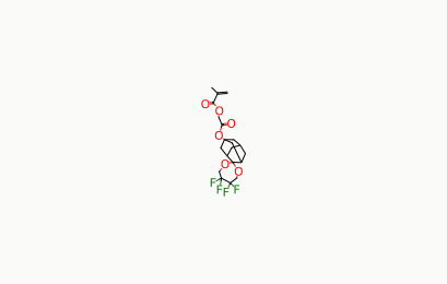 C=C(C)C(=O)OCC(=O)OC12CC3CC(C1)C1(OCC(F)(F)C(F)(F)CO1)C(C3)C2